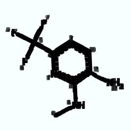 CNc1nc(C(F)(F)F)ccc1N